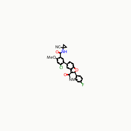 CNC(=O)c1c(-c2ccc(F)cc2)oc2ccc(-c3cc(C(=O)NC4(C#N)CC4)c(OC)cc3Cl)cc12